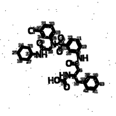 O=C(O)NC(CC(=O)Nc1cccc(S(=O)(=O)N(CC(=O)NC2CCCCC2)c2cccc(Cl)c2)c1)Cc1ccccc1